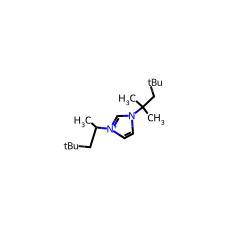 CC(CC(C)(C)C)[n+]1ccn(C(C)(C)CC(C)(C)C)c1